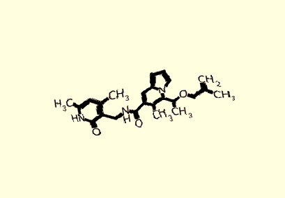 C=C(C)COC(C)c1c(C)c(C(=O)NCc2c(C)cc(C)[nH]c2=O)cc2cccn12